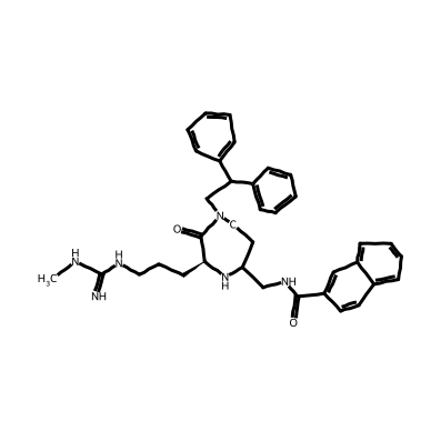 CNC(=N)NCCC[C@@H]1NC(CNC(=O)c2ccc3ccccc3c2)CCN(CC(c2ccccc2)c2ccccc2)C1=O